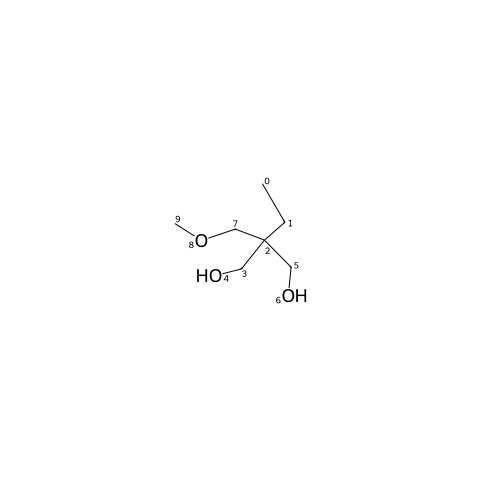 CCC(CO)(CO)COC